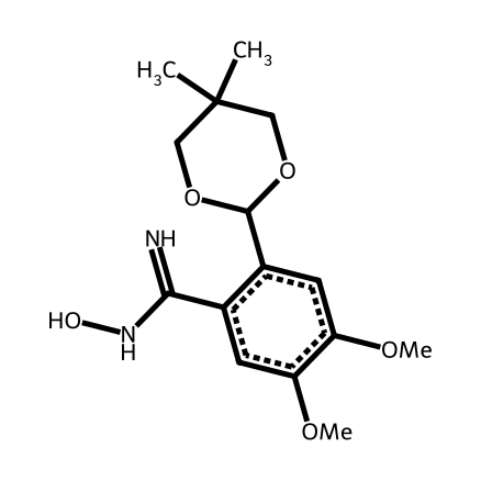 COc1cc(C(=N)NO)c(C2OCC(C)(C)CO2)cc1OC